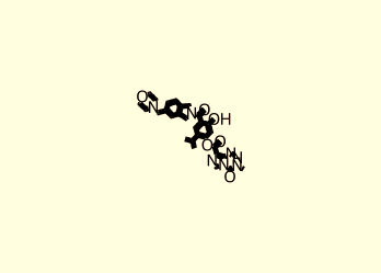 CC(C)c1cc(C(=O)N2Cc3ccc(CN4CCOCC4)cc3C2)c(O)cc1OC(=O)c1ncn2c(=O)n(C)nnc12